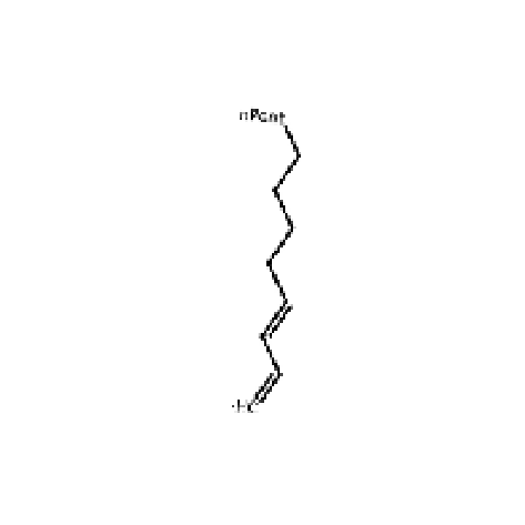 [CH]=CC=CCCCCCCCCC